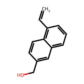 C=Cc1cccc2cc(CO)ccc12